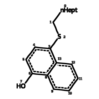 CCCCCCCCSc1ccc(O)c2ccccc12